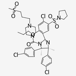 CCCOc1cc(Cl)c(S(=O)(=O)N2CCCC2)cc1C1=N[C@@](C)(c2ccc(Cl)cc2)[C@@](C)(c2ccc(Cl)cc2)N1C(=O)N1CCN(CCCS(C)(=O)=O)CC1